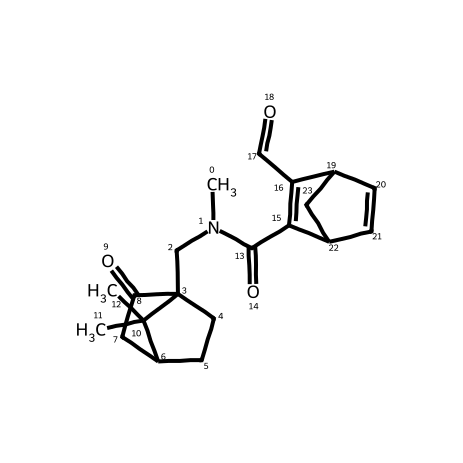 CN(CC12CCC(CC1=O)C2(C)C)C(=O)C1=C(C=O)C2C=CC1C2